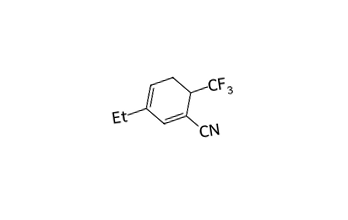 CCC1=CCC(C(F)(F)F)C(C#N)=C1